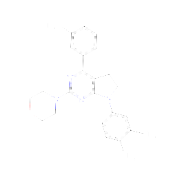 Cc1cccc(-c2nc(N3CCOCC3)nc3c2CCN3c2ccc(C)c(C)c2)c1